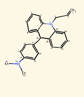 C=CCN1c2ccccc2C(c2ccc(N(CC)CC)cc2)c2ccccc21